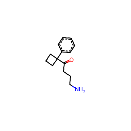 NCCCC(=O)C1(c2ccccc2)CCC1